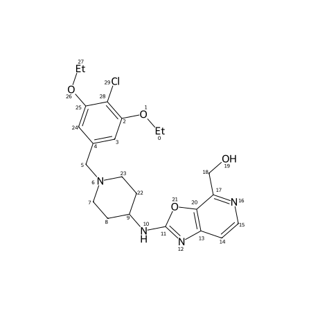 CCOc1cc(CN2CCC(Nc3nc4ccnc(CO)c4o3)CC2)cc(OCC)c1Cl